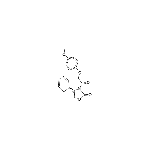 COc1ccc(OCC(=O)N2C(=O)OC[C@H]2C2C=CC=CC2)cc1